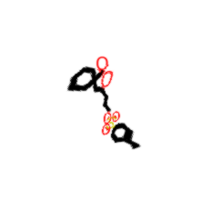 Cc1ccc(S(=O)(=O)OCCCC2CC3(CCCCC3)C(=O)O2)cc1